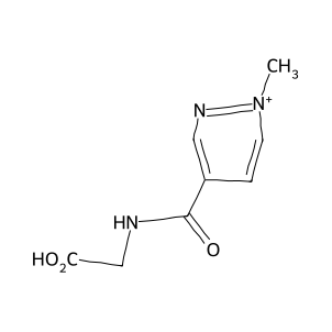 C[n+]1ccc(C(=O)NCC(=O)O)cn1